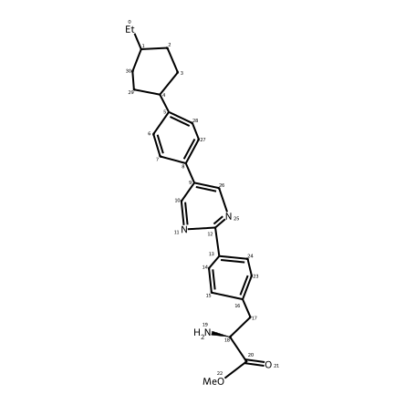 CCC1CCC(c2ccc(-c3cnc(-c4ccc(C[C@H](N)C(=O)OC)cc4)nc3)cc2)CC1